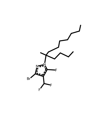 CCCCCCCC(C)(CCCC)n1nc(Br)c(C(F)F)c1F